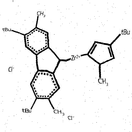 Cc1cc2c(cc1C(C)(C)C)-c1cc(C(C)(C)C)c(C)cc1[CH]2[Zr+2][C]1=CC(C(C)(C)C)=CC1C.[Cl-].[Cl-]